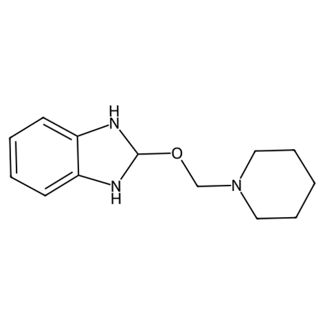 c1ccc2c(c1)NC(OCN1CCCCC1)N2